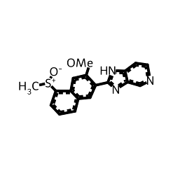 COc1cc2c([S+](C)[O-])cccc2cc1-c1nc2cnccc2[nH]1